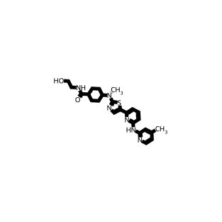 Cc1ccnc(Nc2cccc(-c3cnc(N(C)C4CCC(C(=O)NCCO)CC4)s3)n2)c1